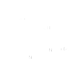 CC(O)C(=O)[O-].CCCC[n+]1ccn(C)c1